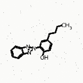 CCCCc1ccc(O)c(-n2n3c4ccccc4n23)c1